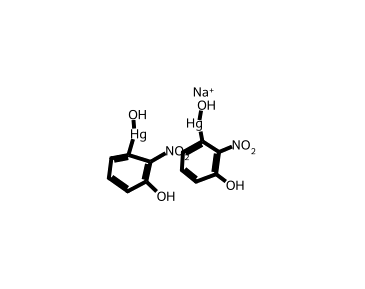 O=[N+]([O-])c1c(O)ccc[c]1[Hg][OH].O=[N+]([O-])c1c(O)ccc[c]1[Hg][OH].[Na+]